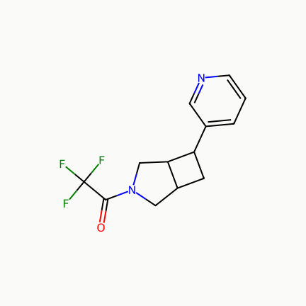 O=C(N1CC2CC(c3cccnc3)C2C1)C(F)(F)F